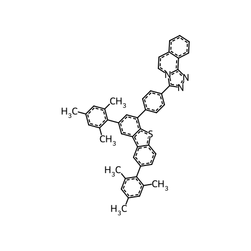 Cc1cc(C)c(-c2ccc3sc4c(-c5ccc(-c6nnc7c8ccccc8ccn67)cc5)cc(-c5c(C)cc(C)cc5C)cc4c3c2)c(C)c1